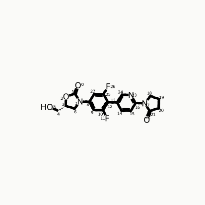 O=C1O[C@@H](CO)CN1c1cc(F)c(-c2ccc(N3CCCC3=O)nc2)c(F)c1